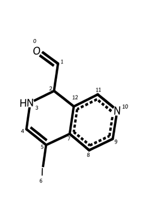 O=CC1NC=C(I)c2ccncc21